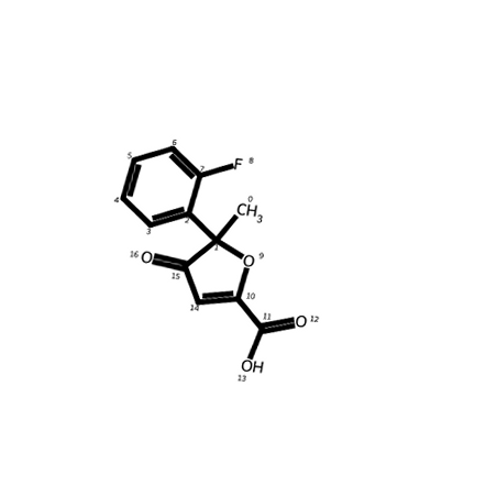 CC1(c2ccccc2F)OC(C(=O)O)=CC1=O